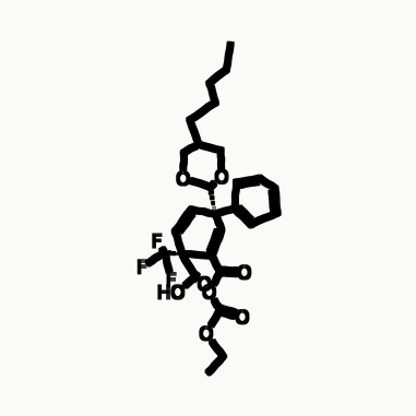 CCCCCC1COC([C@@]2(c3ccccc3)C=C[C@@](C(=O)O)(C(F)(F)F)C(C(=O)OC(=O)OCC)=C2)OC1